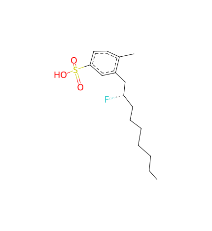 CCCCCCC[C@H](F)Cc1cc(S(=O)(=O)O)ccc1C